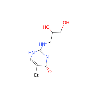 CCc1c[nH]c(NCC(O)CO)nc1=O